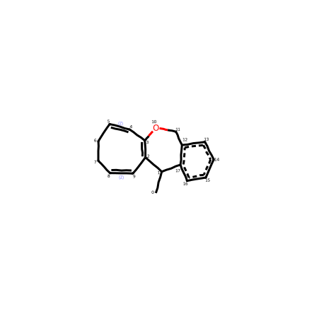 CC1C2=C(/C=C\CC/C=C\2)OCc2ccccc21